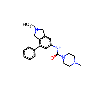 CN1CCN(C(=O)Nc2cc3c(c(-c4ccccc4)c2)CN(C(=O)O)C3)CC1